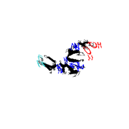 CC[C@H]([C@@H]1CC1(F)F)n1cc(-c2nc(-c3cnn(C[C@@H](O)CO)c3)cn3nccc23)cn1